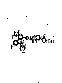 Cc1nc(F)c2c(-c3ccc(F)cc3C(=O)N3CCOC[C@H]3C)cc(C3CN(C(CN4CCN(C(=O)OC(C)(C)C)CC4)C(C)C)C3)cn12